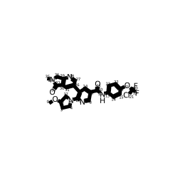 COC1CCN(c2ncc(C(=O)Nc3ccc(OC(F)(F)Cl)cc3)cc2-c2cnc3c(c2)C(=O)N(C)C3)C1